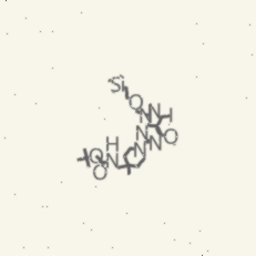 COc1nc(N2CCC(C)(CNC(=O)OC(C)(C)C)CC2)nc2c1c(I)nn2COCC[Si](C)(C)C